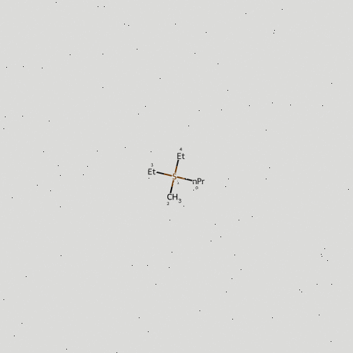 CCCS(C)(CC)CC